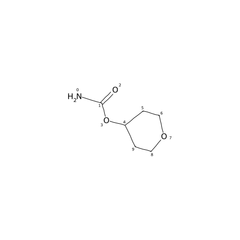 NC(=O)OC1CCOCC1